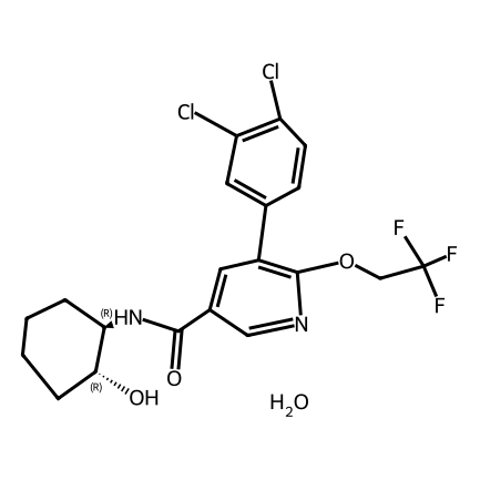 O.O=C(N[C@@H]1CCCC[C@H]1O)c1cnc(OCC(F)(F)F)c(-c2ccc(Cl)c(Cl)c2)c1